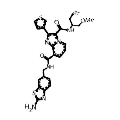 COC[C@H](CC(C)C)NC(=O)c1c(-c2ccsc2)nc2c(C(=O)NCc3ccc4nc(N)sc4c3)cccn12